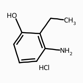 CCc1c(N)cccc1O.Cl